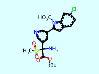 CC(C)(C)OC(=O)C(N)(c1cncc(-c2cc3ccc(Cl)cc3n2C(=O)O)c1)S(C)(=O)=O